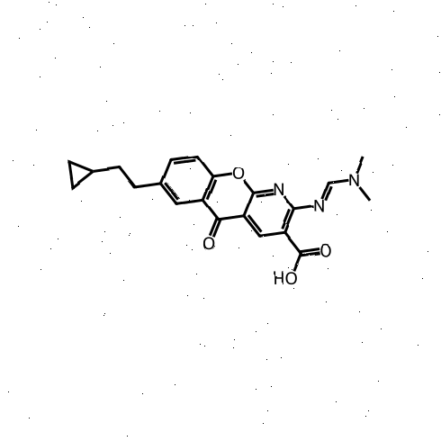 CN(C)/C=N/c1nc2oc3ccc(CCC4CC4)cc3c(=O)c2cc1C(=O)O